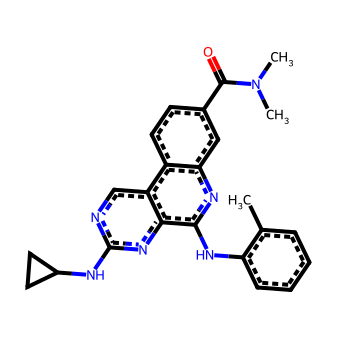 Cc1ccccc1Nc1nc2cc(C(=O)N(C)C)ccc2c2cnc(NC3CC3)nc12